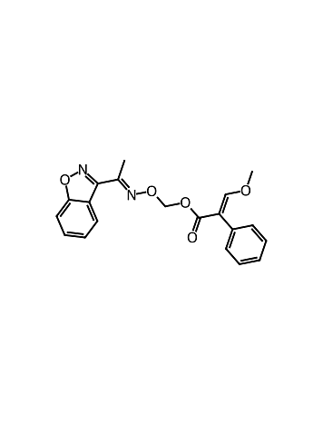 COC=C(C(=O)OCON=C(C)c1noc2ccccc12)c1ccccc1